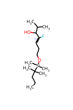 CCCC(C)(C)[Si](C)(C)OCC/C=C(\F)C(O)C(C)C